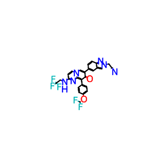 N#CCn1cc2cc(-c3cn4ccc(NCC(F)(F)F)nc4c(-c4ccc(OC(F)F)cc4)c3=O)ccc2n1